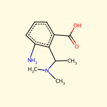 CC(c1c(N)cccc1C(=O)O)N(C)C